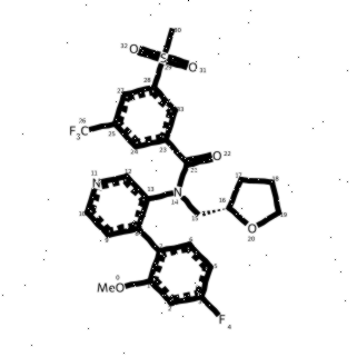 COc1cc(F)ccc1-c1ccncc1N(C[C@@H]1CCCO1)C(=O)c1cc(C(F)(F)F)cc(S(C)(=O)=O)c1